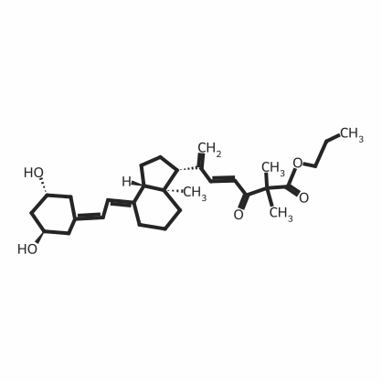 C=C(/C=C/C(=O)C(C)(C)C(=O)OCCC)[C@H]1CC[C@H]2/C(=C/C=C3C[C@@H](O)C[C@H](O)C3)CCC[C@]12C